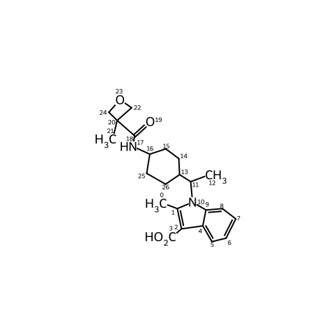 Cc1c(C(=O)O)c2ccccc2n1C(C)C1CCC(NC(=O)C2(C)COC2)CC1